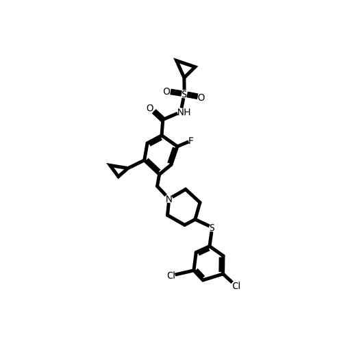 O=C(NS(=O)(=O)C1CC1)c1cc(C2CC2)c(CN2CCC(Sc3cc(Cl)cc(Cl)c3)CC2)cc1F